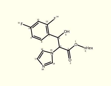 CCCCCCOC(=O)C(C(O)c1ccc(F)cc1F)n1ccnc1